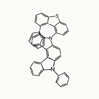 c1ccc(-c2cccc3sc4cccc(-n5c6ccccc6c6c7c8ccccc8n(-c8ccccc8)c7ccc65)c4c23)cc1